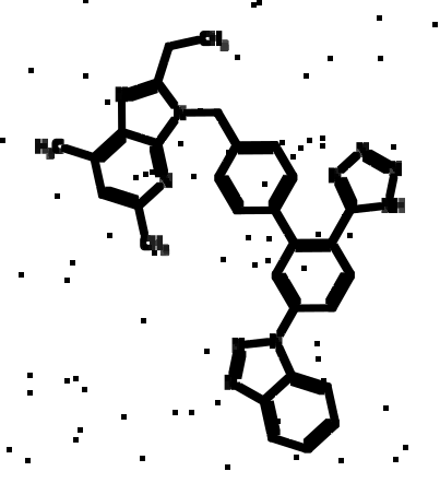 CCc1nc2c(C)cc(C)nc2n1Cc1ccc(-c2cc(-n3nnc4ccccc43)ccc2-c2nnn[nH]2)cc1